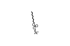 CCCCCCCCOC(=O)OCC[N+](C)(C)C